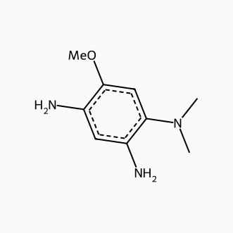 COc1cc(N(C)C)c(N)cc1N